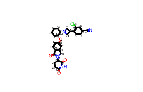 N#Cc1ccc(C2CN([C@H]3CCCC[C@H]3Oc3ccc4c(c3)CN(C3CCC(=O)NC3=O)C4=O)C2)c(Cl)c1